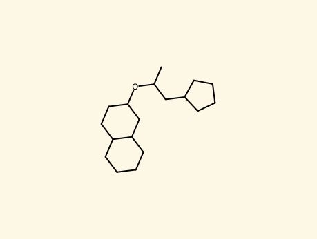 CC(CC1CCCC1)OC1CCC2CCCCC2C1